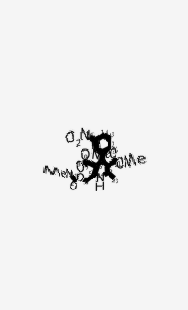 CNC(=O)OCC1=C(C(=O)OC)C(c2cccc([N+](=O)[O-])c2)C(C(=O)OC)=C(C)N1